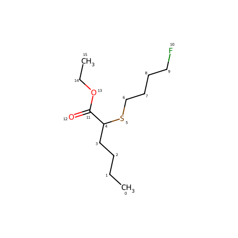 CCCCC(SCCCCF)C(=O)OCC